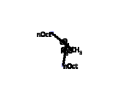 CCCCCCCC/C=C\CCCCCCCCOC(=O)CCN(CCCN(C)C)CCC(=O)OCCCCCCCC/C=C\CCCCCCCC